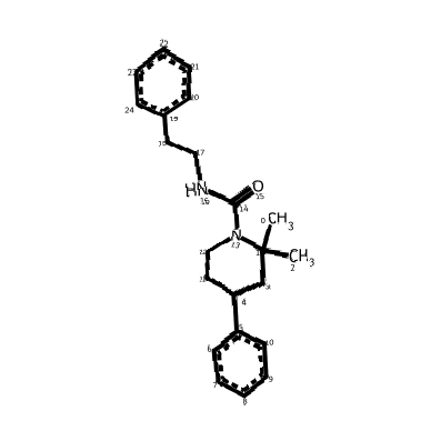 CC1(C)CC(c2ccccc2)CCN1C(=O)NCCc1ccccc1